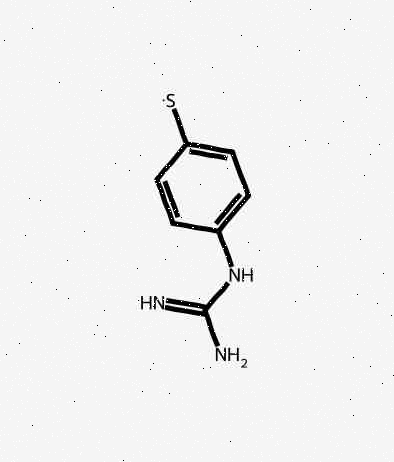 N=C(N)Nc1ccc([S])cc1